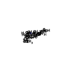 CC[C@@]1(O)C(=O)CCc2c1cc1n(c2=O)Cc2c-1nc1ccc(OC(=O)N3CCN(c4ncc(C(=O)NO)cn4)CC3)c(CN(C)C)c1c2/C=N\OC(C)(C)C